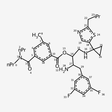 CCCN(CCC)C(=O)c1cc(C)cc(C(=O)OC(CNC2(c3cnc(CC(C)C)s3)CC2)C(N)Cc2cc(F)cc(F)c2)c1